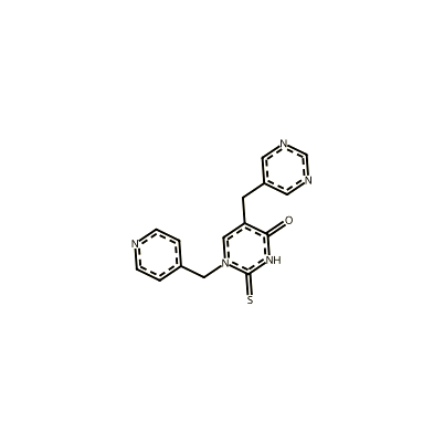 O=c1[nH]c(=S)n(Cc2ccncc2)cc1Cc1cncnc1